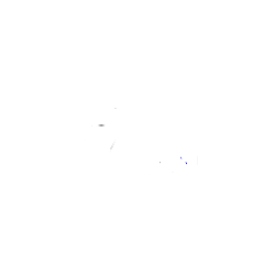 FC1C=C(C(F)(F)F)C=C(CC2CC3(CNC3)C2)C1